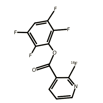 O=C(Oc1c(F)c(F)cc(F)c1F)c1cccnc1[18F]